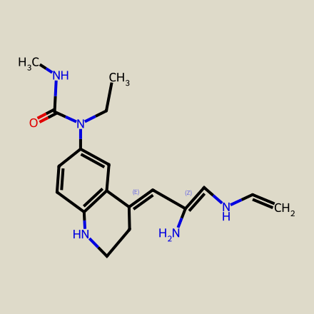 C=CN/C=C(N)/C=C1\CCNc2ccc(N(CC)C(=O)NC)cc21